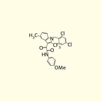 COc1ccc(NC(=O)C(=O)c2c(C(F)(F)F)n(Cc3ccc(Cl)cc3Cl)c3ccc(C)cc23)cc1